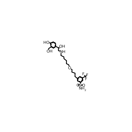 NS(=O)(=O)c1cc(CCCCOCCCCCCNC[C@H](O)c2ccc(O)c(CO)c2)cc(C(F)(F)F)c1